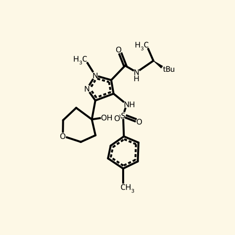 Cc1ccc(S(=O)(=O)Nc2c(C3(O)CCOCC3)nn(C)c2C(=O)N[C@@H](C)C(C)(C)C)cc1